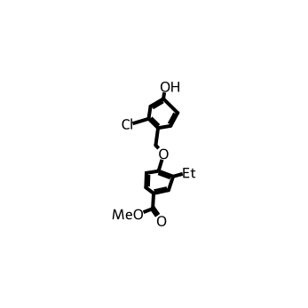 CCc1cc(C(=O)OC)ccc1OCc1ccc(O)cc1Cl